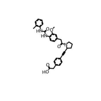 COc1cc(CC(=O)N2CCCC2C#Cc2ccc(CC(=O)O)cc2)ccc1NC(=O)Nc1ccccc1C